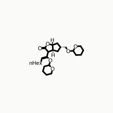 CCCCCCC=C(OC1CCCCO1)C1C(=O)O[C@@H]2C[C@H](COC3CCCCO3)C[C@@H]12